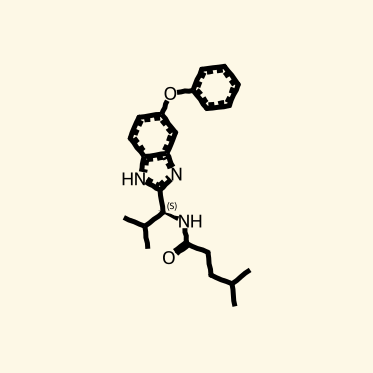 CC(C)CCC(=O)N[C@H](c1nc2cc(Oc3ccccc3)ccc2[nH]1)C(C)C